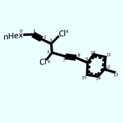 CCCCCCC#CC(Cl)C(Cl)C#Cc1ccc(C)cc1